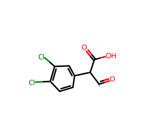 O=[C]C(C(=O)O)c1ccc(Cl)c(Cl)c1